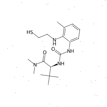 Cc1cccc(NC(=O)N[C@H](C(=O)N(C)C)C(C)(C)C)c1NCCS